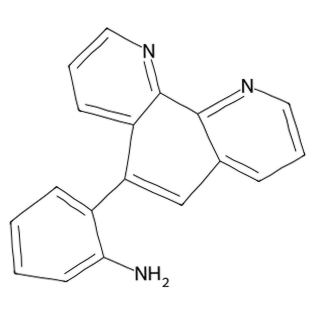 Nc1ccccc1-c1cc2cccnc2c2ncccc12